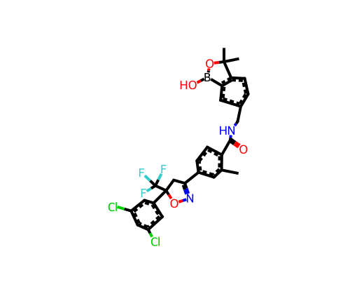 Cc1cc(C2=NOC(c3cc(Cl)cc(Cl)c3)(C(F)(F)F)C2)ccc1C(=O)NCc1ccc2c(c1)B(O)OC2(C)C